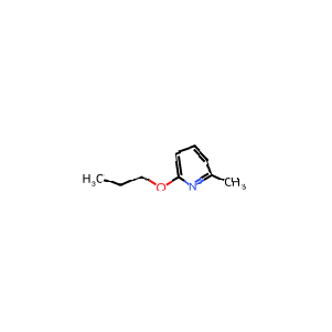 CCCOc1cccc(C)n1